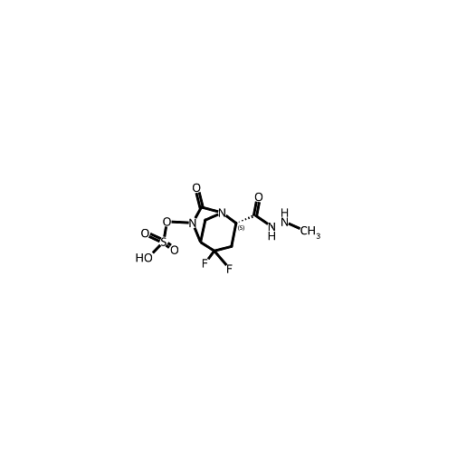 CNNC(=O)[C@@H]1CC(F)(F)C2CN1C(=O)N2OS(=O)(=O)O